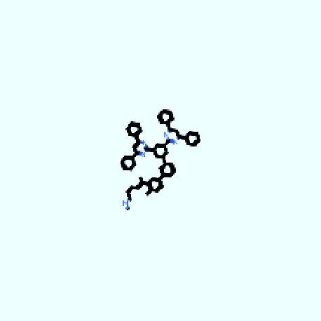 C/N=C/C=C\C=C(/C)c1cc(-c2cccc(-c3cc(-c4nc(-c5ccccc5)cc(-c5ccccc5)n4)cc(-c4nc(-c5ccccc5)cc(-c5ccccc5)n4)c3)c2)ccc1C